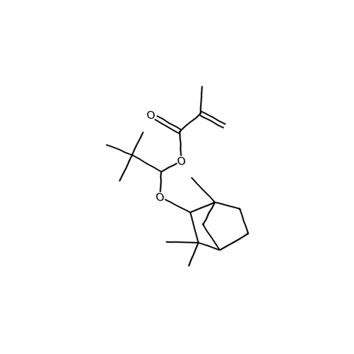 C=C(C)C(=O)OC(OC1C2(C)CCC(C2)C1(C)C)C(C)(C)C